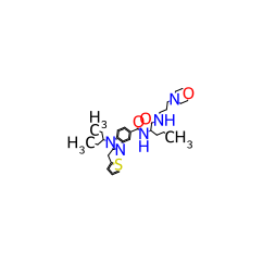 CCCC(NC(=O)c1ccc2c(c1)nc(Cc1cccs1)n2C(CC)CC)C(=O)NCCCN1CCOCC1